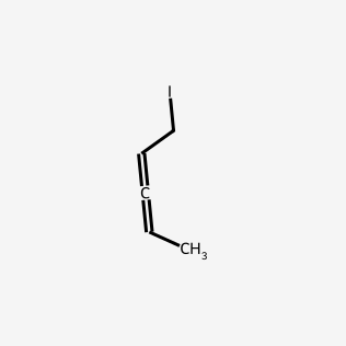 CC=C=CCI